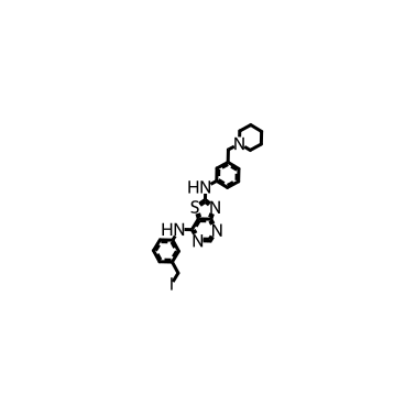 ICc1cccc(Nc2ncnc3nc(Nc4cccc(CN5CCCCC5)c4)sc23)c1